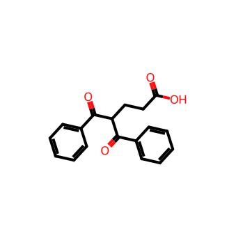 O=C(O)CCC(C(=O)c1ccccc1)C(=O)c1ccccc1